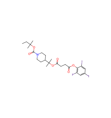 CCC(C)(C)OC(=O)N1CCC(C(C)(C)OC(=O)CCC(=O)Oc2c(I)cc(I)cc2I)CC1